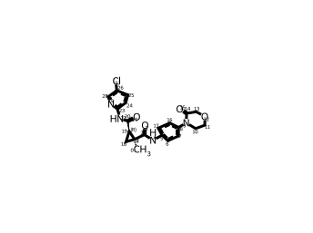 C[C@]1(C(=O)Nc2ccc(N3CCOCC3=O)cc2)C[C@H]1C(=O)Nc1ccc(Cl)cn1